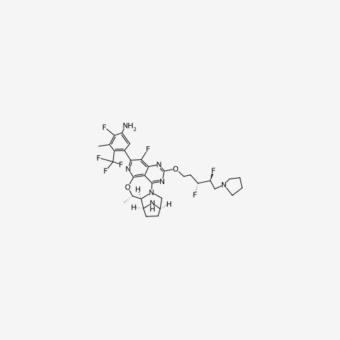 Cc1c(F)c(N)cc(-c2nc3c4c(nc(OCC[C@@H](F)[C@@H](F)CN5CCCC5)nc4c2F)N2C[C@H]4CC[C@H](N4)[C@H]2[C@H](C)O3)c1C(F)(F)F